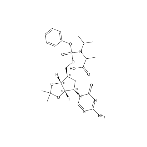 CC(C)N(C(C)C(=O)O)P(=O)(OC[C@H]1C[C@@H](n2cnc(N)nc2=O)[C@@H]2OC(C)(C)O[C@H]12)Oc1ccccc1